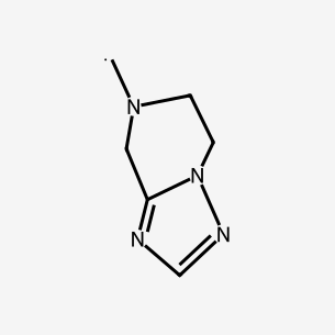 [CH2]N1CCn2ncnc2C1